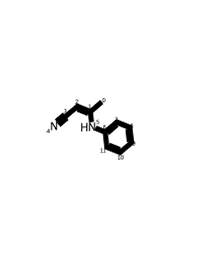 C/C(=C/C#N)Nc1ccccc1